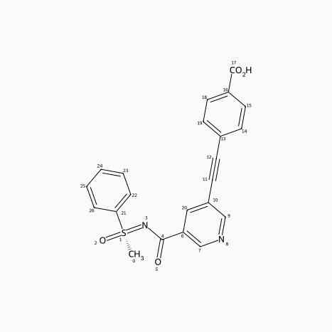 C[S@@](=O)(=NC(=O)c1cncc(C#Cc2ccc(C(=O)O)cc2)c1)c1ccccc1